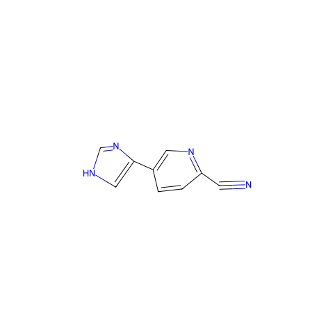 N#Cc1ccc(-c2c[nH]cn2)cn1